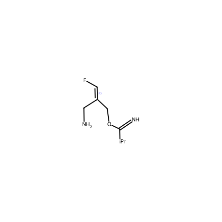 CC(C)C(=N)OC/C(=C/F)CN